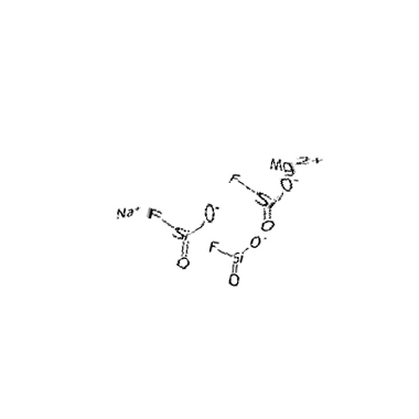 O=[Si]([O-])F.O=[Si]([O-])F.O=[Si]([O-])F.[Mg+2].[Na+]